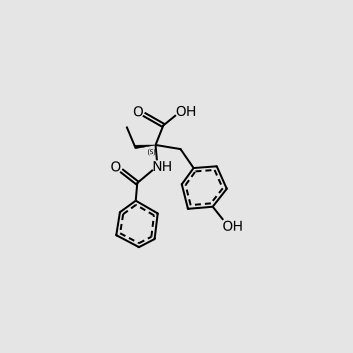 CC[C@@](Cc1ccc(O)cc1)(NC(=O)c1ccccc1)C(=O)O